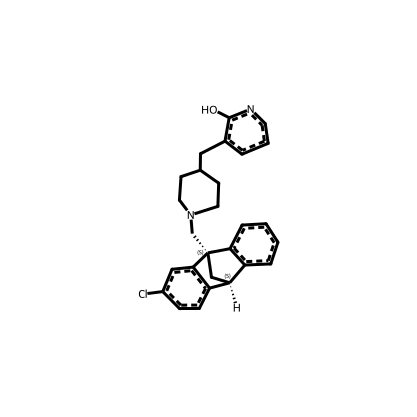 Oc1ncccc1CC1CCN(C[C@@]23C[C@@H](c4ccccc42)c2ccc(Cl)cc23)CC1